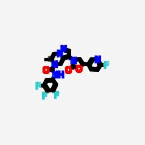 C[C@H]1Cn2ncc(N3CC(c4ccc(F)nc4)OC3=O)c2CN1C(=O)Nc1cc(F)c(F)c(F)c1